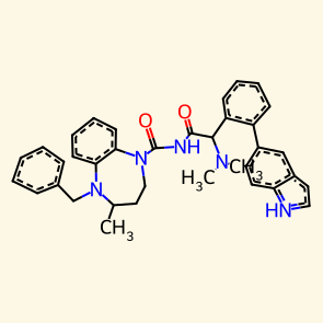 CC1CCN(C(=O)NC(=O)C(c2ccccc2-c2ccc3[nH]ccc3c2)N(C)C)c2ccccc2N1Cc1ccccc1